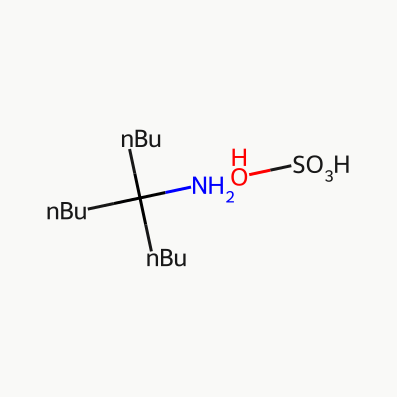 CCCCC(N)(CCCC)CCCC.O=S(=O)(O)O